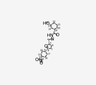 O=C(N/N=C/c1ccc(-c2ccc([N+](=O)[O-])cc2)o1)c1cccc(O)c1